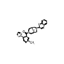 Cc1ccc(-n2nccn2)c(C(=O)N2CC3CN(c4cnc5ccccc5n4)CC(C2)O3)c1